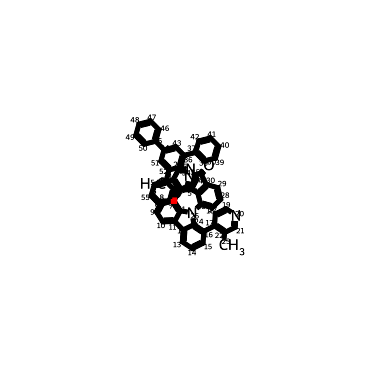 Cc1cnccc1-c1cccc2c3cccc(-c4ccncc4C)c3n(-c3cccc4c3C(=O)N(c3c(-c5ccccc5)cc(-c5ccccc5)cc3-c3ccccc3)C4=O)c12